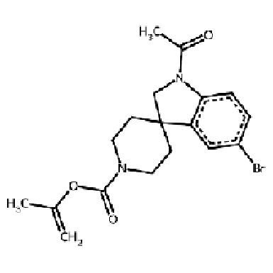 C=C(C)OC(=O)N1CCC2(CC1)CN(C(C)=O)c1ccc(Br)cc12